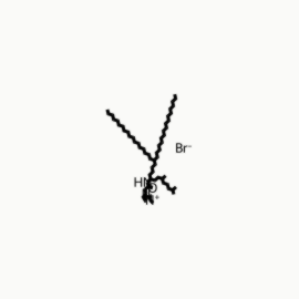 CCCCCCCCCCCCCCCCCCC(CCCCCCCCCCCCCCCCCC)CCCCC(CCC(C)CCCC(C)C)NC(=O)Cn1cc[n+](C)c1.[Br-]